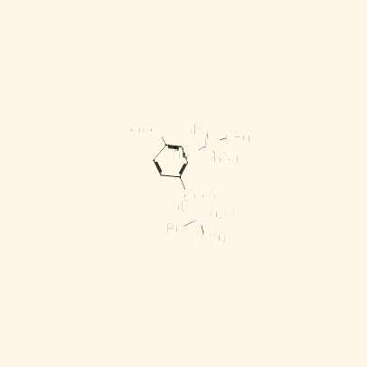 CCCC[P+](CCCC)(CCCC)CCCC.CCCC[P+](CCCC)(CCCC)CCCC.O=C([O-])c1ccc(C(=O)[O-])cc1